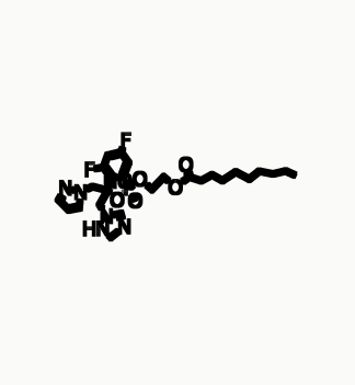 CCCCCCCCCC(=O)OCCOP(=O)(O)OC(CN1C=NCN1)(Cn1cccn1)c1ccc(F)cc1F